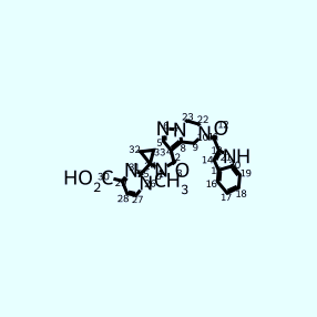 CN(C(=O)c1cnn2c1CN(C(=O)c1cc3ccccc3[nH]1)CC2)C1(c2nccc(C(=O)O)n2)CC1